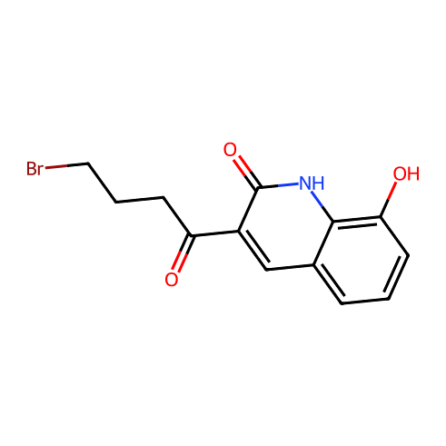 O=C(CCCBr)c1cc2cccc(O)c2[nH]c1=O